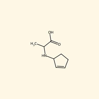 CC(NC1C=CCC1)C(=O)O